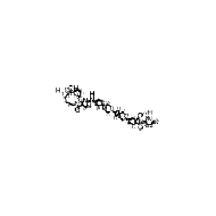 C[C@@]1(O)CC/C=C\Cn2c(=O)c3cnc(Nc4ccc(N5CCN(C6CC7(CCN(c8ccc9c(c8)C(=O)N(C8CCC(=O)NC8=O)C9=O)CC7)C6)CC5)cc4)nc3n2-c2cccc1n2